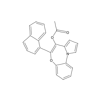 CC(=O)OC1=C(c2cccc3ccccc23)Oc2ccccc2-n2cccc21